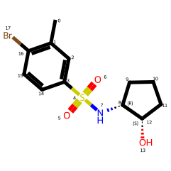 Cc1cc(S(=O)(=O)N[C@@H]2CCC[C@@H]2O)ccc1Br